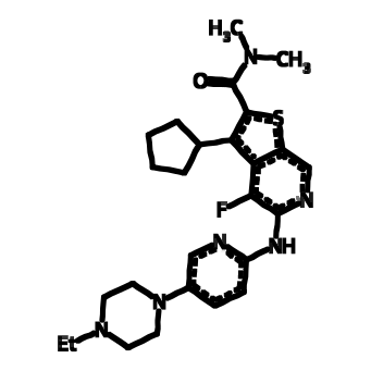 CCN1CCN(c2ccc(Nc3ncc4sc(C(=O)N(C)C)c(C5CCCC5)c4c3F)nc2)CC1